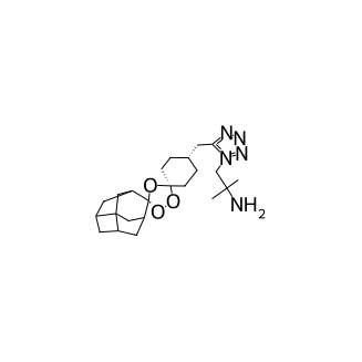 CC(C)(N)Cn1nnnc1C[C@H]1CC[C@]2(CC1)OO[C@]1(O2)C2CC3CC4CC1CC34C2